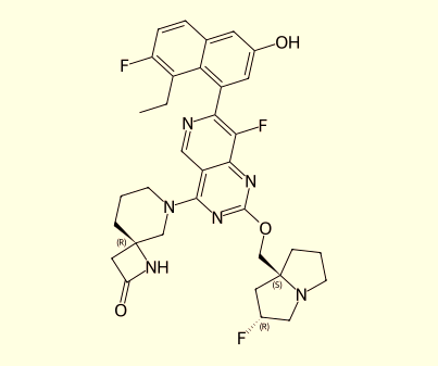 CCc1c(F)ccc2cc(O)cc(-c3ncc4c(N5CCC[C@@]6(CC(=O)N6)C5)nc(OC[C@@]56CCCN5C[C@H](F)C6)nc4c3F)c12